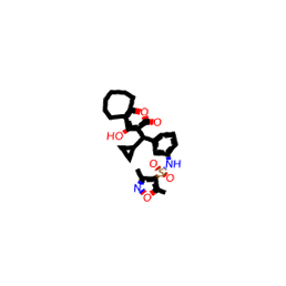 Cc1noc(C)c1S(=O)(=O)Nc1cccc(C(c2c(O)c3c(oc2=O)CCCCCC3)C2CC2)c1